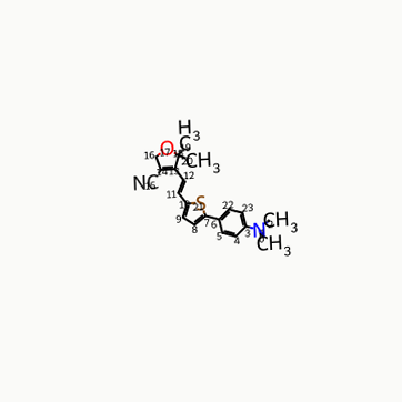 CN(C)c1ccc(-c2ccc(C=CC3=C(C#N)COC3(C)C)s2)cc1